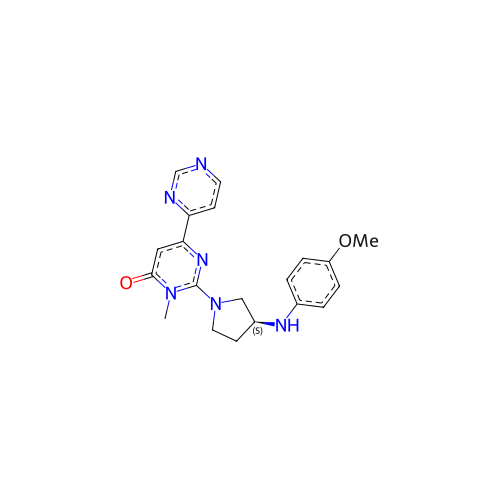 COc1ccc(N[C@H]2CCN(c3nc(-c4ccncn4)cc(=O)n3C)C2)cc1